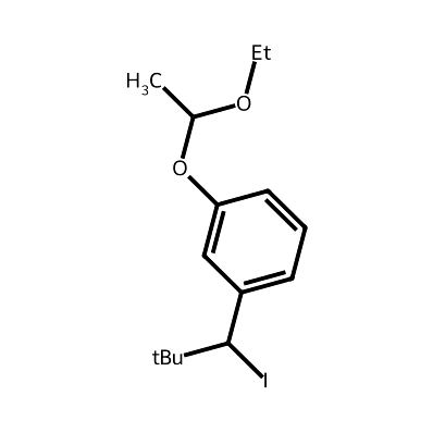 CCOC(C)Oc1cccc(C(I)C(C)(C)C)c1